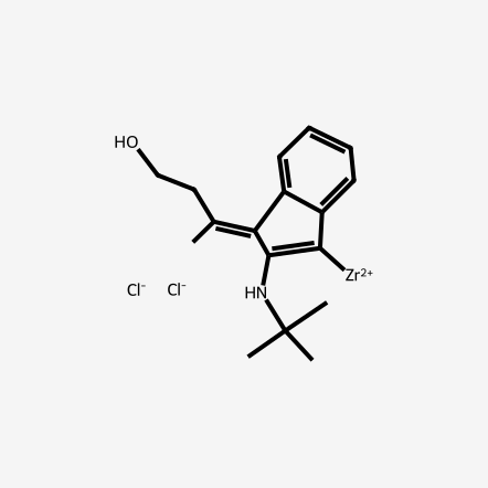 CC(CCO)=C1C(NC(C)(C)C)=[C]([Zr+2])c2ccccc21.[Cl-].[Cl-]